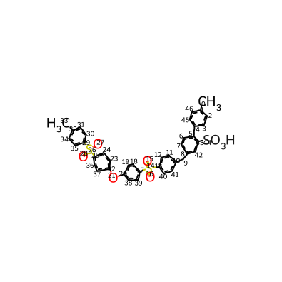 Cc1ccc(-c2ccc(Cc3ccc(S(=O)(=O)c4ccc(Oc5ccc(S(=O)(=O)c6ccc(C)cc6)cc5)cc4)cc3)cc2S(=O)(=O)O)cc1